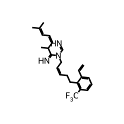 C=Cc1cccc(C(F)(F)F)c1CC/C=C\CN(C=N)C(=N)C(C)/C=C\C=C(C)C